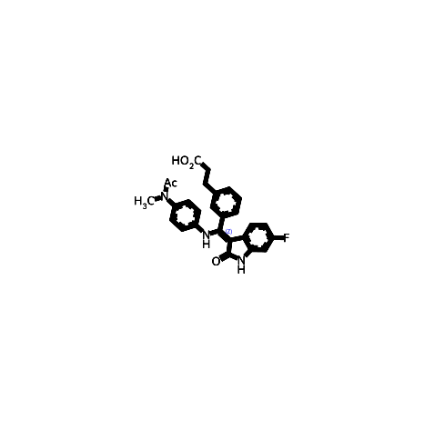 CC(=O)N(C)c1ccc(N/C(=C2\C(=O)Nc3cc(F)ccc32)c2cccc(CCC(=O)O)c2)cc1